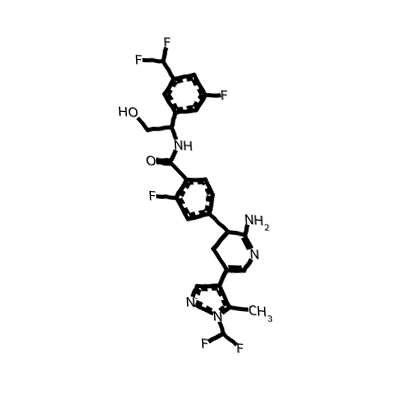 Cc1c(C2=CN=C(N)C(c3ccc(C(=O)NC(CO)c4cc(F)cc(C(F)F)c4)c(F)c3)C2)cnn1C(F)F